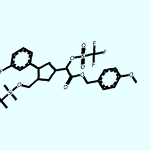 COc1ccc(COC(=O)C(OS(=O)(=O)C(F)(F)F)C2CC(CO[Si](C)(C)C(C)(C)C)C(c3cccc(F)c3)C2)cc1